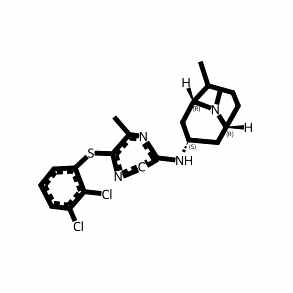 Cc1nc(N[C@H]2C[C@H]3CCC(C)[C@@H](C2)N3C)cnc1Sc1cccc(Cl)c1Cl